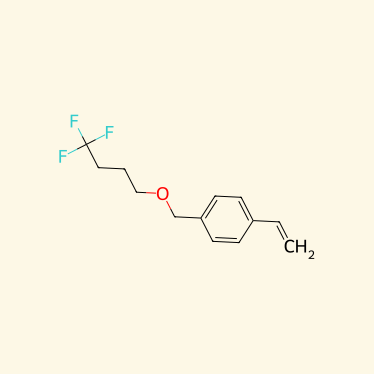 C=Cc1ccc(COCCCC(F)(F)F)cc1